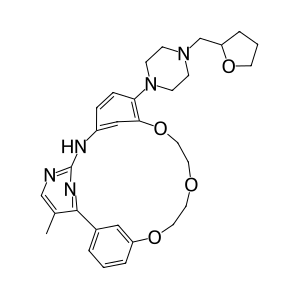 Cc1cnc2nc1-c1cccc(c1)OCCOCCOc1cc(ccc1N1CCN(CC3CCCO3)CC1)N2